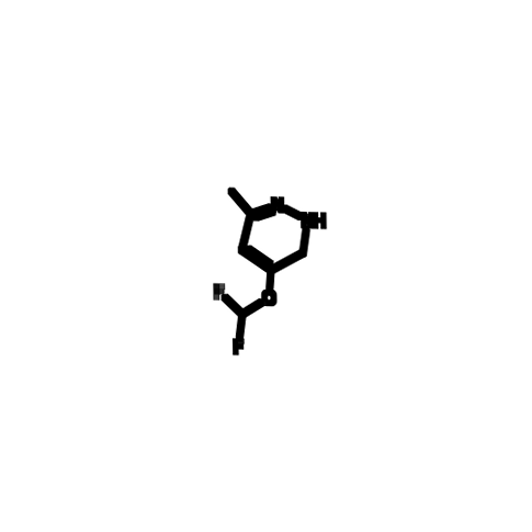 CC1=NNCC(OC(F)F)=C1